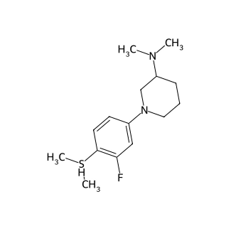 CN(C)C1CCCN(c2ccc([SH](C)C)c(F)c2)C1